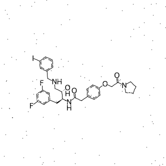 O=C(Cc1ccc(OCC(=O)N2CCCC2)cc1)N[C@@H](Cc1cc(F)cc(F)c1)[C@@H](O)CNCc1cccc(I)c1